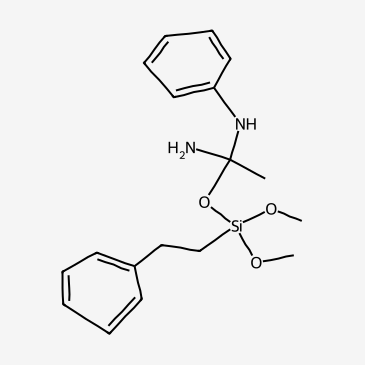 CO[Si](CCc1ccccc1)(OC)OC(C)(N)Nc1ccccc1